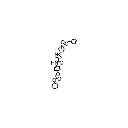 O=C(COc1ccc(NC(=O)c2cnc(C3CCN(C(=O)OCc4ccccc4)CC3)s2)cc1)OC1CCCCC1